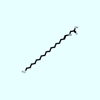 CCCCCCCCCCCCCCCCC=CNCC(=O)O